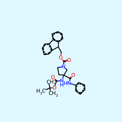 CC(C)(C)OC(=O)NC1(C(=O)Nc2ccccc2)CCN(C(=O)OCC2c3ccccc3-c3ccccc32)C1